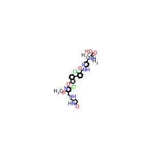 COc1nc(O[C@H]2CCc3c(-c4cccc(C(=O)Nc5ccc(CNC(C)(C)C(=O)O)cn5)c4Cl)cccc32)c(Cl)cc1CNCC1CCC(=O)N1